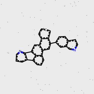 c1cnc2c(c1)-c1cccc3c1c-2cc1c2ccccc2c(-c2ccc4ccncc4c2)cc31